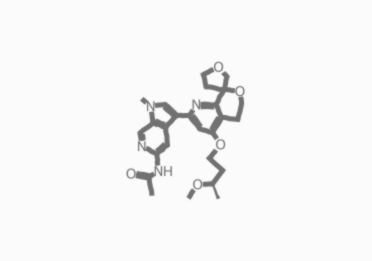 CO[C@H](C)CCOc1cc(-c2cn(C)c3cnc(NC(C)=O)cc23)nc2c1CCOC21CCOC1